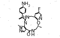 C=C(/C1=N\c2c(cnn2C)C(=O)NC[C@H](C)Oc2ncc(F)cc2CN1)c1ccc(N)cc1